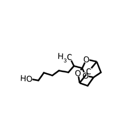 CC(CCCCCO)C12OC3CC(CC(C3)O1)O2